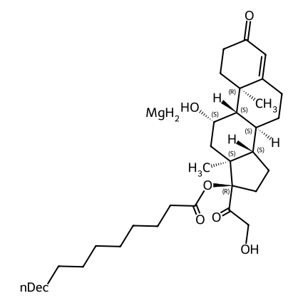 CCCCCCCCCCCCCCCCCC(=O)O[C@]1(C(=O)CO)CC[C@H]2[C@@H]3CCC4=CC(=O)CC[C@]4(C)[C@H]3[C@@H](O)C[C@@]21C.[MgH2]